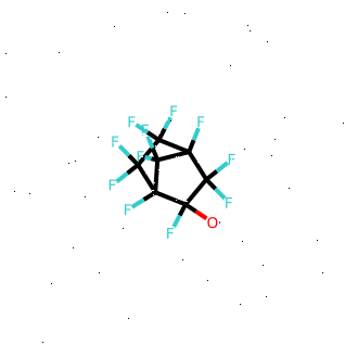 [O]C1(F)C(F)(F)C2(F)C(F)(F)C(F)(F)C1(F)C2(F)F